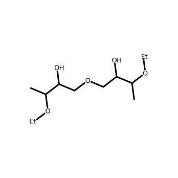 CCOC(C)C(O)COCC(O)C(C)OCC